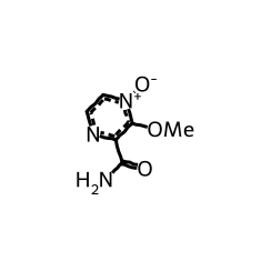 COc1c(C(N)=O)ncc[n+]1[O-]